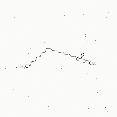 CCCCCCCC/C=C\CCCCCCCCOC(=O)OCC